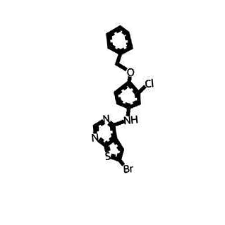 Clc1cc(Nc2ncnc3sc(Br)cc23)ccc1OCc1ccccc1